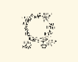 CCCCC1NC(=O)CNC(=O)C(NC(=O)C(N)CC(=O)O)C(C)OC(=O)C(CC(=O)c2ccccc2N)NC(=O)C(C(C)CC(=O)O)NC(=O)C(CO)NC(=O)CNC(=O)C(CC(=O)O)NC(=O)C(C)NC(=O)C(CC(=O)O)NC1=O